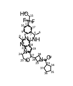 Cc1nc(N[C@H](C)c2cccc(C(F)(F)CO)c2)c2cc3n(c2n1)CCOC3C1CN(C(=O)C2CCCC2)C1